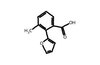 Cc1cccc(C(=O)O)c1-c1ccco1